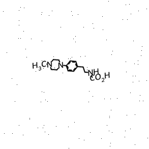 CN1CCN(c2ccc(CCNC(=O)O)cc2)CC1